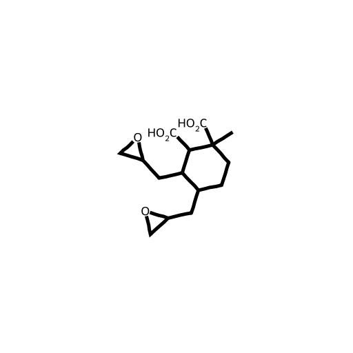 CC1(C(=O)O)CCC(CC2CO2)C(CC2CO2)C1C(=O)O